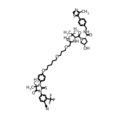 Cc1ncsc1-c1ccc(CNC(=O)[C@@H]2C[C@@H](O)CN2C(=O)[C@@H](NC(=O)COCCCOCCCCCOc2ccc(N3C(=S)N(c4ccc(C#N)c(C(F)(F)F)c4)C(=O)C3(C)C)cc2)C(C)(C)C)cc1